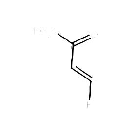 O=C(O)C(=O)C=CF